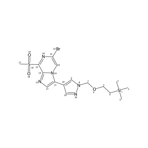 C[Si](C)(C)CCOCn1cc(-c2cnc3c(S(C)(=O)=O)nc(Br)cn23)cn1